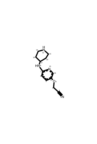 N#CCOc1ccc(NC2CCNCC2)nc1